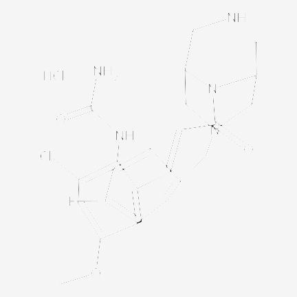 COc1cc(Cl)c(NC(N)=O)c(C=CC(=O)N2C3CNCC2CN(Cc2ccc(F)cc2)C3)c1.Cl